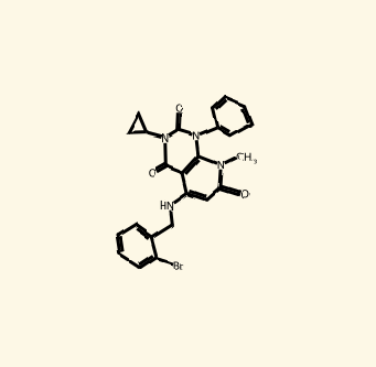 Cn1c(=O)cc(NCc2ccccc2Br)c2c(=O)n(C3CC3)c(=O)n(-c3ccccc3)c21